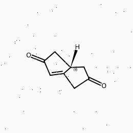 O=C1C=C2CC(=O)C[C@H]2C1